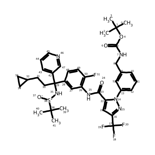 CC(C)(C)OC(=O)NCc1cccc(-n2nc(C(F)(F)F)cc2C(=O)Nc2cc(C(CCC3CC3)(N[S+]([O-])C(C)(C)C)c3cccnc3)ccc2F)c1